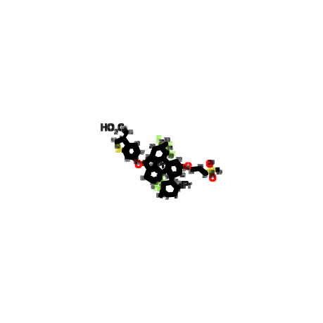 CC(C)C1CCC(C)(F)C(F)(F)C1c1cc(OCCCS(C)(=O)=O)cc(C2C(C(C)C)CCC(C)(F)C2(F)F)c1-c1cccc2c1CCC2Oc1ccc2c(c1)SC[C@H]2CC(=O)O